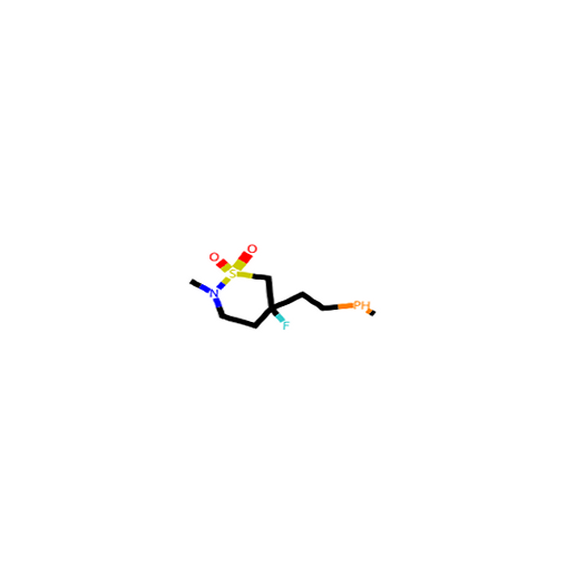 CPCCC1(F)CCN(C)S(=O)(=O)C1